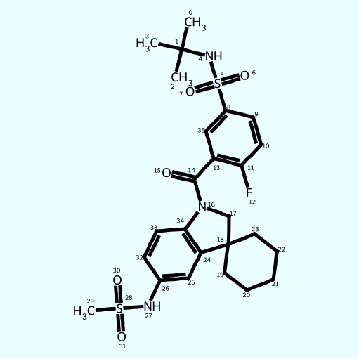 CC(C)(C)NS(=O)(=O)c1ccc(F)c(C(=O)N2CC3(CCCCC3)c3cc(NS(C)(=O)=O)ccc32)c1